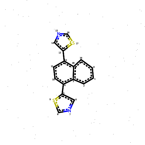 c1ccc2c(-c3cncs3)ccc(-c3cncs3)c2c1